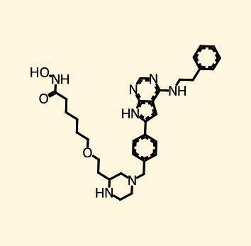 O=C(CCCCCOCCC1CN(Cc2ccc(-c3cc4c(NCCc5ccccc5)ncnc4[nH]3)cc2)CCN1)NO